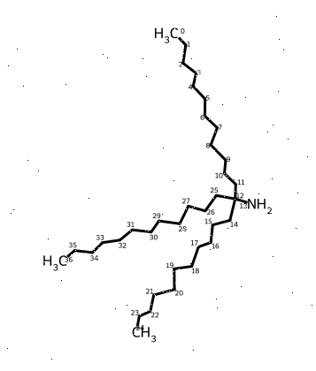 CCCCCCCCCCCCC(N)(CCCCCCCCCCC)CCCCCCCCCCCC